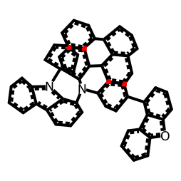 c1ccc(-c2cccc3cccc(-c4ccccc4N(c4ccc(-c5cccc6oc7ccccc7c56)cc4)c4cccc5c6ccccc6n(-c6ccccc6)c45)c23)cc1